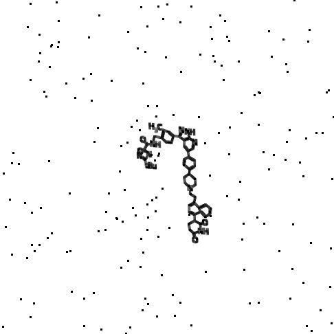 Cc1cc(-c2n[nH]c3ncc(-c4ccc(C5CCN(CCc6ccc(C7CCC(=O)NC7=O)c7ccccc67)CC5)cc4)cc23)ccc1CNC(=O)c1nc(C(C)(C)C)no1